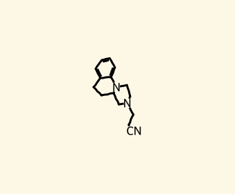 N#CCCN1CCN2c3ccccc3CCC2C1